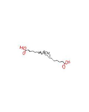 C=C.O=C(O)CCCCCCCCCCCCCCCCCC(=O)O